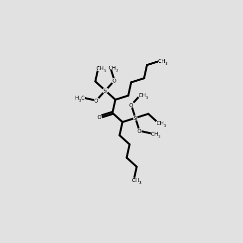 CCCCCC(C(=O)C(CCCCC)[Si](CC)(OC)OC)[Si](CC)(OC)OC